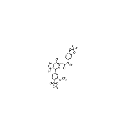 CCN(C(=O)Cn1nc(-c2ccc(S(C)(=O)=O)c(OC(F)(F)F)c2)c2[nH]cnc2c1=O)c1ccc2c(c1)OC(F)(F)O2